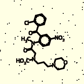 CN(C(=O)CN(CCCN1CCOCC1)C(=O)O)c1ccc([N+](=O)[O-])cc1C(=O)c1ccccc1Cl